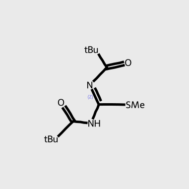 CS/C(=N\C(=O)C(C)(C)C)NC(=O)C(C)(C)C